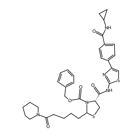 O=C(NC1CC1)c1ccc(-c2csc(NC(=O)[C@@H]3CSC(CCCCC(=O)N4CCCCC4)N3C(=O)OCc3ccccc3)n2)cc1